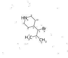 CC(C)C(Br)C1CCNCC1